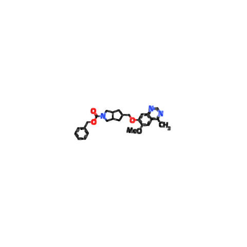 COc1cc2c(C)ncnc2cc1OCC1CC2CN(C(=O)OCc3ccccc3)CC2C1